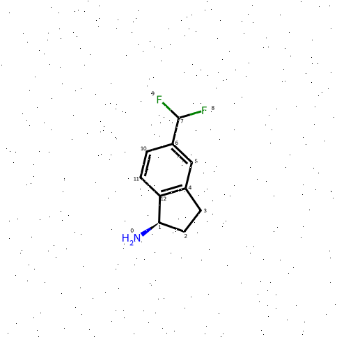 N[C@@H]1CCc2cc(C(F)F)ccc21